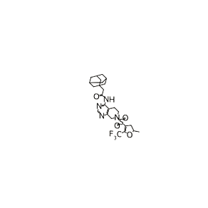 CC1CC(S(=O)(=O)N2CCc3c(ncnc3NC(=O)CC34CC5CC(CC(C5)C3)C4)C2)=C(C(F)(F)F)O1